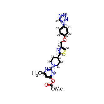 COC(=O)Oc1cc(C)nc(N2CCC(c3nc(COc4ccc(-n5cnnn5)cc4)cs3)CC2)n1